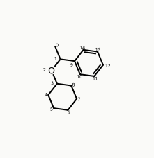 CC(OC1CCCCC1)c1ccccc1